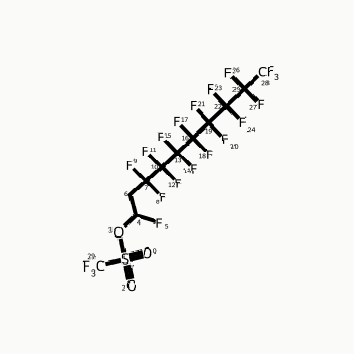 O=S(=O)(OC(F)CC(F)(F)C(F)(F)C(F)(F)C(F)(F)C(F)(F)C(F)(F)C(F)(F)C(F)(F)F)C(F)(F)F